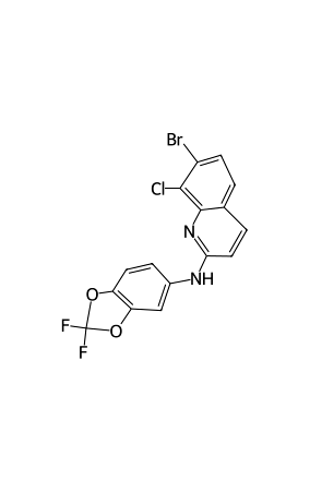 FC1(F)Oc2ccc(Nc3ccc4ccc(Br)c(Cl)c4n3)cc2O1